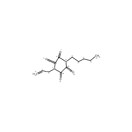 C=CCN1C(=O)C(=O)N(CCCCC)C(=O)C1=O